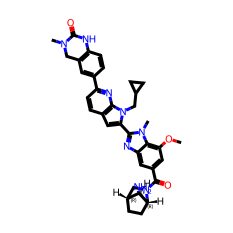 COc1cc(C(=O)N2C[C@H]3CC[C@@H]2[C@@H]3N)cc2nc(-c3cc4ccc(-c5ccc6c(c5)CN(C)C(=O)N6)nc4n3CC3CC3)n(C)c12